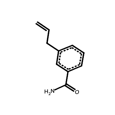 C=CCc1cccc(C(N)=O)c1